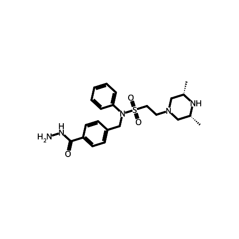 C[C@@H]1CN(CCS(=O)(=O)N(Cc2ccc(C(=O)NN)cc2)c2ccccc2)C[C@H](C)N1